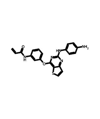 C=CC(=O)Nc1cccc(Oc2nc(Nc3ccc(N)cc3)nc3ccsc23)c1